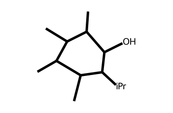 CC(C)C1C(C)C(C)C(C)C(C)C1O